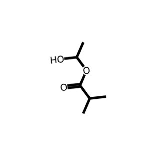 C[C](C)C(=O)OC(C)O